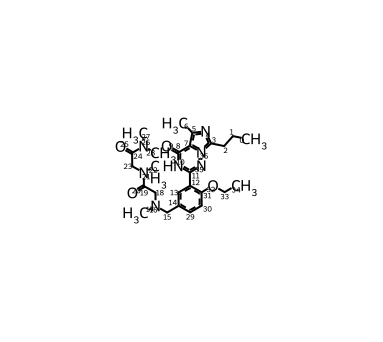 CCCc1nc(C)c2c(=O)[nH]c(-c3cc(CN(C)CC(=O)N(C)CC(=O)N(C)C)ccc3OCC)nn12